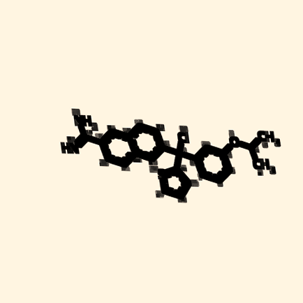 CC(C)Oc1cccc(C(Cl)(c2ccc3cc(C(=N)N)ccc3c2)c2cccs2)c1